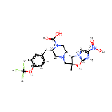 CC1(CN2CCN(C(=O)O)C(Cc3ccc(OC(F)(F)F)cc3)C2)Cn2cc([N+](=O)[O-])nc2O1